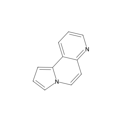 c1cnc2ccn3cccc3c2c1